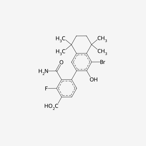 CC1(C)CCC(C)(C)c2c1cc(-c1ccc(C(=O)O)c(F)c1C(N)=O)c(O)c2Br